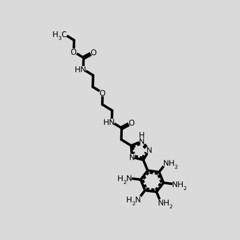 CCOC(=O)NCCOCCNC(=O)Cc1nc(-c2c(N)c(N)c(N)c(N)c2N)n[nH]1